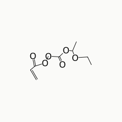 C=CC(=O)OOC(=O)OC(C)OCC